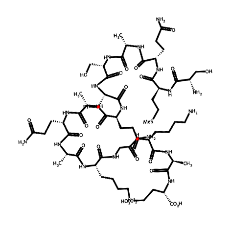 CSCC[C@H](NC(=O)[C@@H](N)CO)C(=O)N[C@@H](CCC(N)=O)C(=O)N[C@@H](C)C(=O)N[C@@H](CO)C(=O)N[C@@H](CC(C)C)C(=O)N[C@@H](CCC(N)=O)C(=O)N[C@@H](C)C(=O)N[C@@H](CCC(N)=O)C(=O)N[C@@H](C)C(=O)N[C@@H](CCCCN)C(=O)NCC(=O)N[C@@H](CCCCN)C(=O)N[C@@H](C)C(=O)N[C@@H](CCC(=O)O)C(=O)O